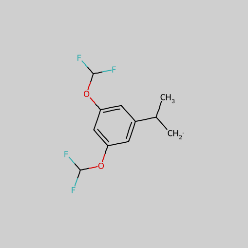 [CH2]C(C)c1cc(OC(F)F)cc(OC(F)F)c1